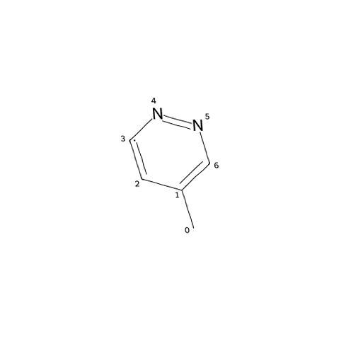 Cc1c[c]nnc1